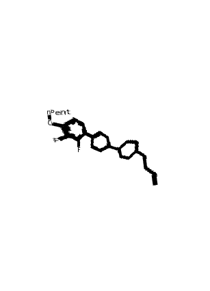 C=CCCC1CCC(C2CC=C(c3ccc(OCCCCC)c(F)c3F)CC2)CC1